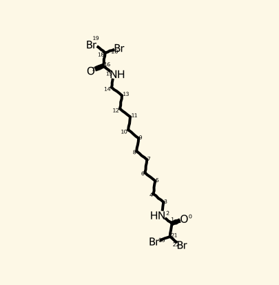 O=C(NCCCCCCCCCCCCNC(=O)C(Br)Br)C(Br)Br